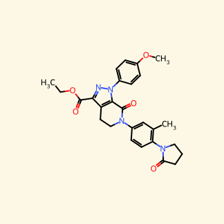 CCOC(=O)c1nn(-c2ccc(OC)cc2)c2c1CCN(c1ccc(N3CCCC3=O)c(C)c1)C2=O